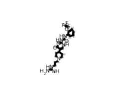 N=C(N)NCCCN1CCC(c2c[nH]c(NC(=O)Nc3ccccc3OC(F)(F)F)nc2=O)CC1